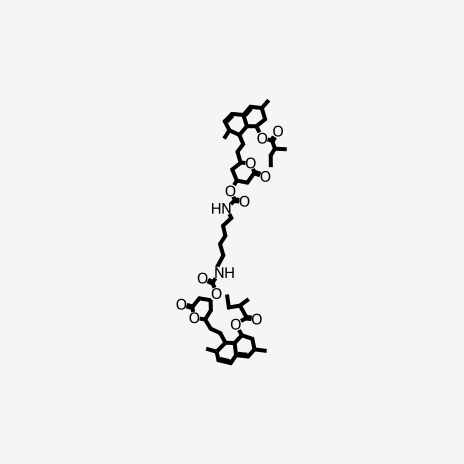 CCC(C)C(=O)OC1CC(C)C=C2C=CC(C)C(CCC3CC(OC(=O)NCCCCCCNC(=O)OC4CC(=O)OC(CCC5C(C)C=CC6=CC(C)CC(OC(=O)C(C)CC)C65)C4)CC(=O)O3)C21